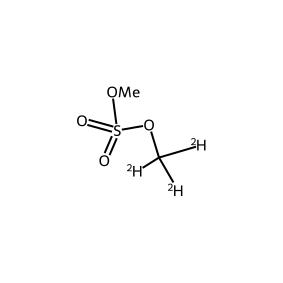 [2H]C([2H])([2H])OS(=O)(=O)OC